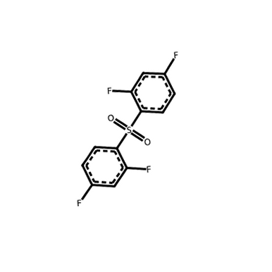 O=S(=O)(c1ccc(F)cc1F)c1ccc(F)cc1F